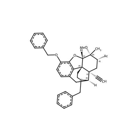 C#C[C@@]12C[C@@H](C(C)=O)[C@@](C)(OC)[C@H]3Oc4c(OCc5ccccc5)ccc5c4[C@]31CCN(Cc1ccccc1)[C@@H]2C5